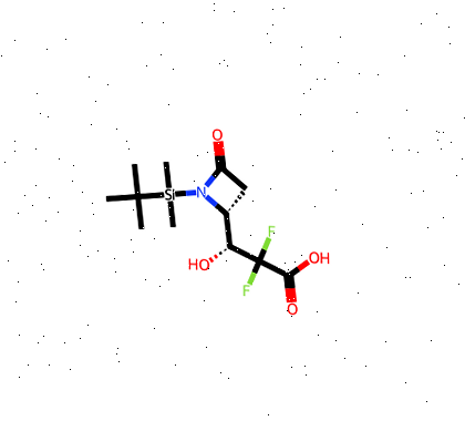 CC(C)(C)[Si](C)(C)N1C(=O)C[C@@H]1[C@@H](O)C(F)(F)C(=O)O